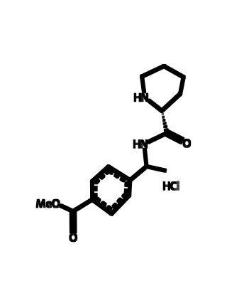 COC(=O)c1ccc(C(C)NC(=O)[C@H]2CCCCN2)cc1.Cl